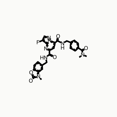 CN(C)C(=O)c1ccc(CNC(=O)c2cc(C(=O)NCc3ccc4oc(=O)n(C)c4c3)nc3c(F)cnn23)cc1